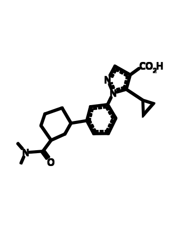 CN(C)C(=O)C1CCCC(c2cccc(-n3ncc(C(=O)O)c3C3CC3)c2)C1